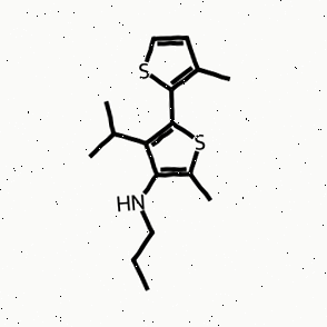 CCCNc1c(C)sc(-c2sccc2C)c1C(C)C